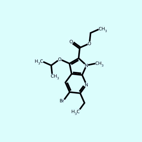 CCOC(=O)c1c(OC(C)C)c2cc(Br)c(CC)nc2n1C